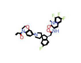 C=CC(=O)N1CCOc2cc(N3CCC4(CC3)C[C@@H](CC(=O)NC(=Cc3cc(F)c(F)c(F)c3)C(=O)NC)c3ccc(F)cc34)ccc21